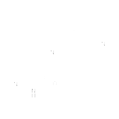 O=c1[nH]ncc2ccc(Cc3ccncc3)nc12